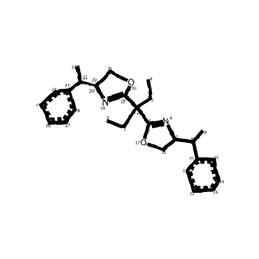 CCC(CC)(C1=NC(C(C)c2ccccc2)CO1)C1=N[C@@H](C(C)c2ccccc2)CO1